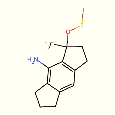 Nc1c2c(cc3c1C(OSI)(C(F)(F)F)CC3)CCC2